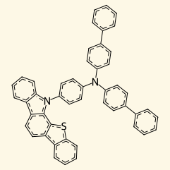 c1ccc(-c2ccc(N(c3ccc(-c4ccccc4)cc3)c3ccc(-n4c5ccccc5c5ccc6c7ccccc7sc6c54)cc3)cc2)cc1